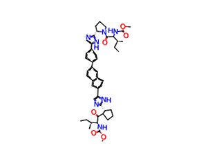 CC[C@H](C)[C@H](NC(=O)OC)C(=O)C1CCC[C@H]1c1ncc(-c2ccc3cc(-c4ccc(-c5cnc([C@@H]6CCCN6C(=O)[C@@H](NC(=O)OC)[C@@H](C)CC)[nH]5)cc4)ccc3c2)[nH]1